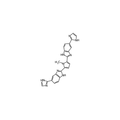 Cn1c(-c2nc3cc(-c4ncc[nH]4)ccc3[nH]2)ccc1-c1nc2cc(-c3ncc[nH]3)ccc2[nH]1